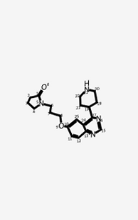 O=C1CCCN1CCCOc1ccc2ncnc(C3CCNCC3)c2c1